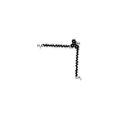 CCCCCCCCCCCCCCCCCCCCCCOc1ccc(C(O)(c2ccccc2)c2ccc(OCCCCCCCCCCCCCCCCCCCCCC)cc2)cc1